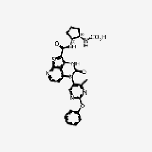 Cc1nc(Oc2ccccc2)ncc1N1C(=O)Nc2c(C(=O)N[C@H]3CCC[C@H]3NC(=O)O)sc3nccc1c23